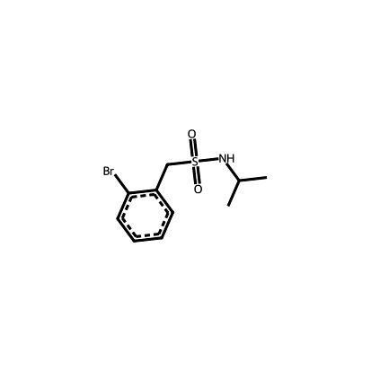 CC(C)NS(=O)(=O)Cc1ccccc1Br